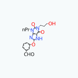 CCCn1c(=O)n(CCCO)c(=O)c2[nH]c(Oc3cccc(C=O)c3)nc21